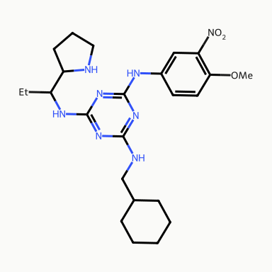 CCC(Nc1nc(NCC2CCCCC2)nc(Nc2ccc(OC)c([N+](=O)[O-])c2)n1)C1CCCN1